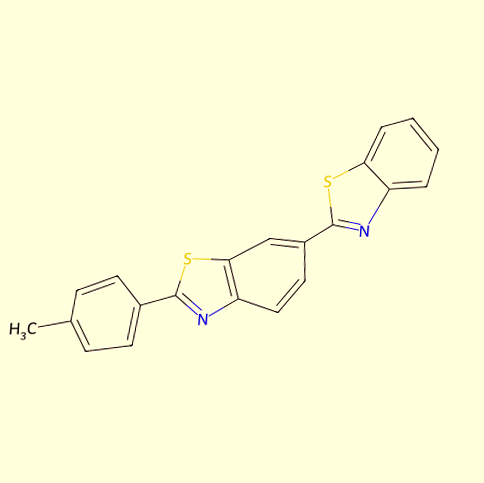 Cc1ccc(-c2nc3ccc(-c4nc5ccccc5s4)cc3s2)cc1